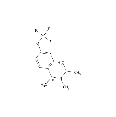 CC(C)N(C)[C@H](C)c1ccc(OC(F)(F)F)cc1